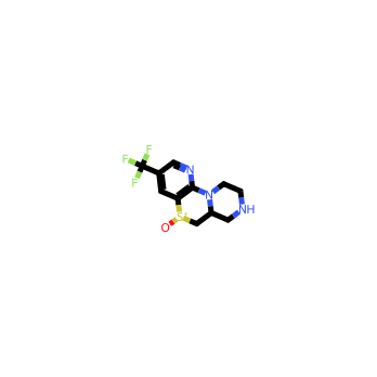 [O-][S+]1CC2CNCCN2c2ncc(C(F)(F)F)cc21